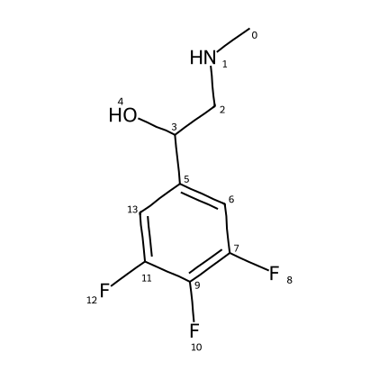 CNCC(O)c1cc(F)c(F)c(F)c1